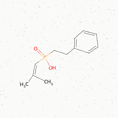 CC(C)=CP(=O)(O)CCc1ccccc1